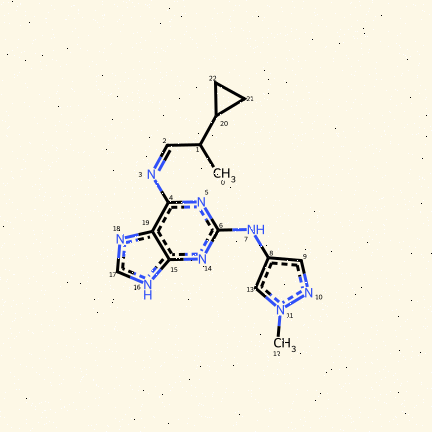 CC(/C=N\c1nc(Nc2cnn(C)c2)nc2[nH]cnc12)C1CC1